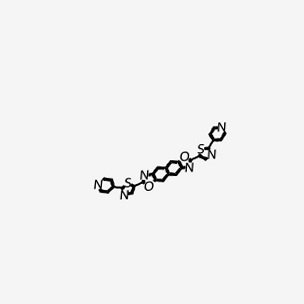 c1cc(-c2ncc(-c3nc4cc5cc6oc(-c7cnc(-c8ccncc8)s7)nc6cc5cc4o3)s2)ccn1